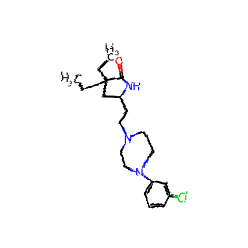 CCC1(CC)CC(CCN2CCN(c3cccc(Cl)c3)CC2)NC1=O